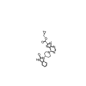 Cn1c(C(=O)OCC2CC2)nc2c(N3CCC(n4c(=O)[nH]c5ccccc54)CC3)ncnc21